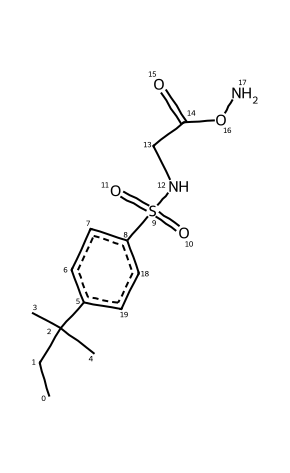 CCC(C)(C)c1ccc(S(=O)(=O)NCC(=O)ON)cc1